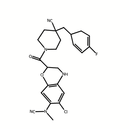 CN(C#N)c1cc2c(cc1Cl)NCC(C(=O)N1CCC(C#N)(CC3C=CC(F)=CC3)CC1)O2